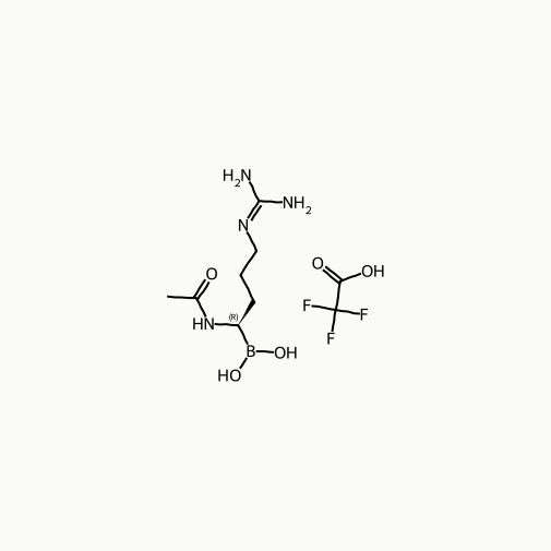 CC(=O)N[C@@H](CCCN=C(N)N)B(O)O.O=C(O)C(F)(F)F